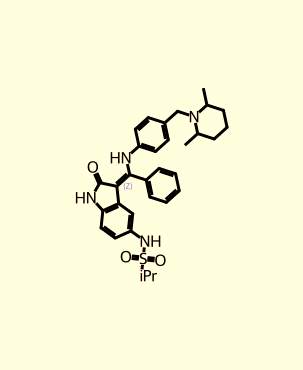 CC1CCCC(C)N1Cc1ccc(N/C(=C2\C(=O)Nc3ccc(NS(=O)(=O)C(C)C)cc32)c2ccccc2)cc1